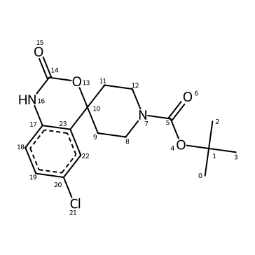 CC(C)(C)OC(=O)N1CCC2(CC1)OC(=O)Nc1ccc(Cl)cc12